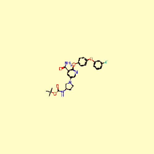 CC(C)(C)OC(=O)NC1CCN(c2cnc(Oc3ccc(Oc4cccc(F)c4)cc3)c(C(N)=O)c2)C1